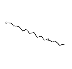 [CH2]CCCSCCCCCCCCCC[S]